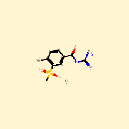 CC(C)(C)c1ccc(C(=O)NC(=N)N)cc1S(C)(=O)=O.Cl